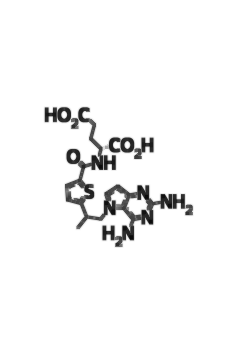 CC(Cn1ccc2nc(N)nc(N)c21)c1ccc(C(=O)N[C@H](CCC(=O)O)C(=O)O)s1